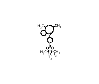 C=c1ccc(=C)c2ccccc2n(-c2ccc(B3OC(C)(C)C(C)(C)O3)cc2)cc1